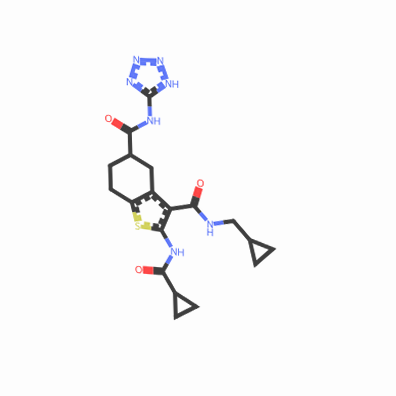 O=C(NCC1CC1)c1c(NC(=O)C2CC2)sc2c1CC(C(=O)Nc1nnn[nH]1)CC2